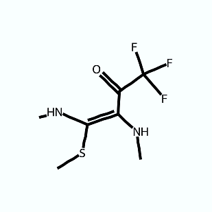 CN/C(SC)=C(/NC)C(=O)C(F)(F)F